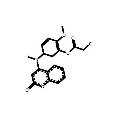 COC1=C(OC(=O)CCl)CC(N(C)c2cc(=O)oc3ccccc23)C=C1